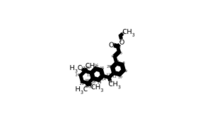 CCOC(=O)/C=C/c1cccc(C(C)c2ccc3c(c2)C(C)(C)CCC3(C)C)c1